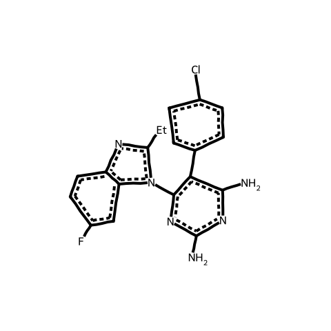 CCc1nc2ccc(F)cc2n1-c1nc(N)nc(N)c1-c1ccc(Cl)cc1